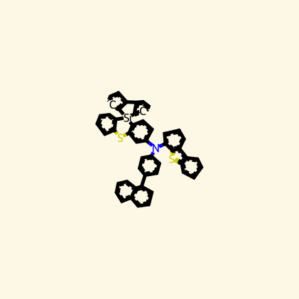 c1ccc2c(c1)Sc1cc(N(c3ccc(-c4cccc5ccccc45)cc3)c3cccc4c3sc3ccccc34)ccc1[Si]21c2ccccc2-c2ccccc21